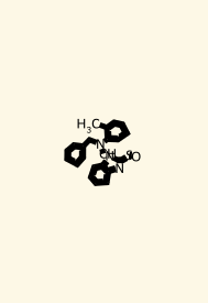 Cc1ccccc1N(C)Cc1ccccc1.O=S=C1N=c2ccccc2=N1